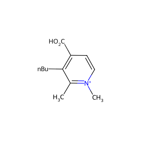 CCCCc1c(C(=O)O)cc[n+](C)c1C